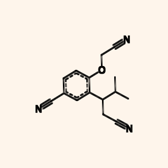 CC(C)C(CC#N)c1cc(C#N)ccc1OCC#N